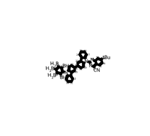 Bc1c(B)c(B)c(-n2c3ccccc3c3cc(-c4ccc5c(c4)c4ccccc4n5-c4nc(C#N)c5ccc(C(C)(C)C)cc5n4)ccc32)c(B)c1B